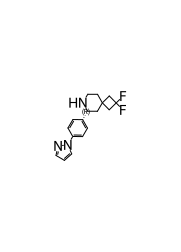 FC1(F)CC2(CCN[C@@H](c3ccc(-n4cccn4)cc3)C2)C1